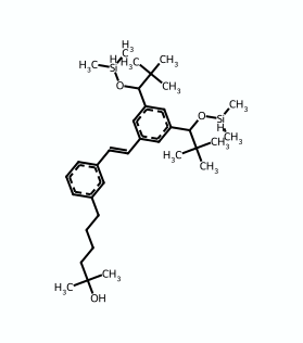 C[SiH](C)OC(c1cc(/C=C/c2cccc(CCCCC(C)(C)O)c2)cc(C(O[SiH](C)C)C(C)(C)C)c1)C(C)(C)C